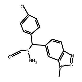 Cn1nnc2ccc(C(c3ccc(Cl)cc3)N(N)C=O)cc21